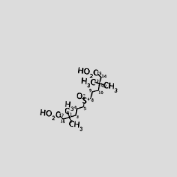 CC(C)(CCC[S+]([O-])CCCC(C)(C)CC(=O)O)CC(=O)O